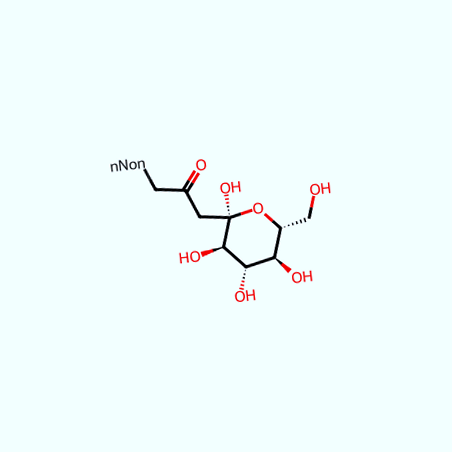 CCCCCCCCCCC(=O)C[C@@]1(O)O[C@H](CO)[C@@H](O)[C@H](O)[C@H]1O